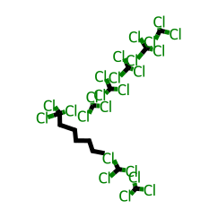 CCCCCCC(Cl)(Cl)Cl.ClC(Cl)Cl.ClC(Cl)Cl.ClC(Cl)Cl.ClC(Cl)Cl.ClC(Cl)Cl.ClC(Cl)Cl.ClC(Cl)Cl